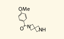 COc1ccc(C(=O)N2CC3(CNC3)C2)cc1